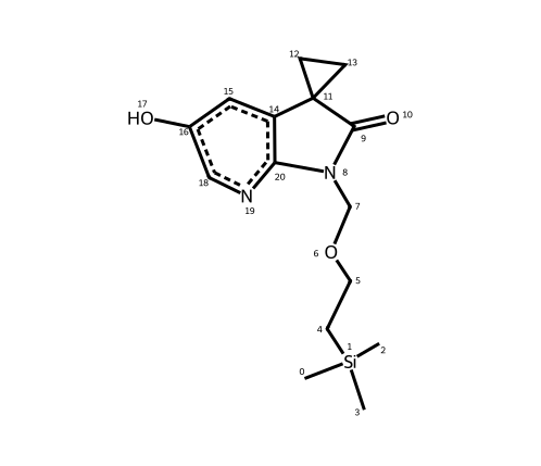 C[Si](C)(C)CCOCN1C(=O)C2(CC2)c2cc(O)cnc21